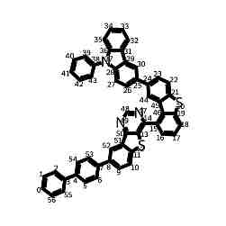 c1ccc(-c2ccc(-c3ccc4sc5c(-c6cccc7sc8ccc(-c9ccc%10c(c9)c9ccccc9n%10-c9ccccc9)cc8c67)ncnc5c4c3)cc2)cc1